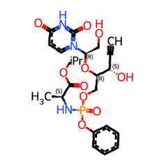 C#C[C@H](O)[C@@H](COP(=O)(N[C@@H](C)C(=O)OC(C)C)Oc1ccccc1)O[C@H](CO)n1ccc(=O)[nH]c1=O